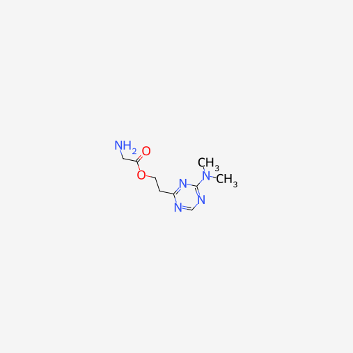 CN(C)c1ncnc(CCOC(=O)CN)n1